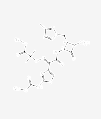 Cc1ncn(C[C@@H]2[C@H](NC(=O)C(=NOC(C)(C)C(=O)OC(C)(C)C)c3csc(NC(=O)OC(C)(C)C)n3)C(=O)N2S(=O)(=O)O)n1